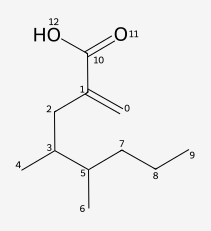 C=C(CC(C)C(C)CCC)C(=O)O